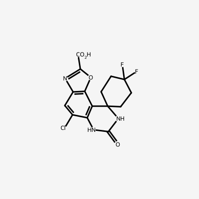 O=C1Nc2c(Cl)cc3nc(C(=O)O)oc3c2C2(CCC(F)(F)CC2)N1